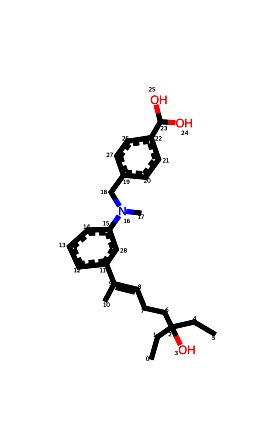 CCC(O)(CC)CCC=C(C)c1cccc(N(C)Cc2ccc(C(O)O)cc2)c1